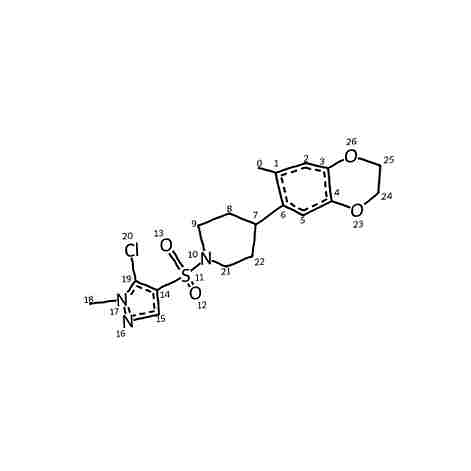 Cc1cc2c(cc1C1CCN(S(=O)(=O)c3cnn(C)c3Cl)CC1)OCCO2